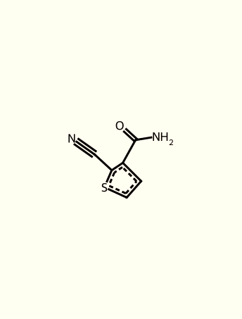 N#Cc1sccc1C(N)=O